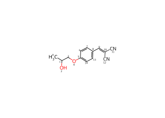 CC(O)COc1ccc(C=C(C#N)C#N)cc1